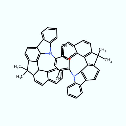 CC1(C)c2ccc3ccccc3c2-c2c1ccc1c3ccccc3n(-c3cc(C#N)c(-n4c5ccccc5c5ccc6c(c54)C4c5ccccc5C=CC4C6(C)C)cc3C#N)c21